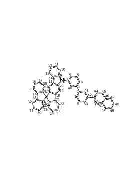 c1cc(-c2cccc(-n3c4ccccc4c4cc5c(cc43)-c3ccccc3C53c4ccccc4-c4ccccc43)c2)cc(-c2ccc3ccccc3n2)c1